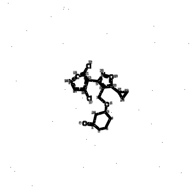 O=C1CCC[C@H](OCc2c(-c3c(Cl)cncc3Cl)noc2C2CC2)C1